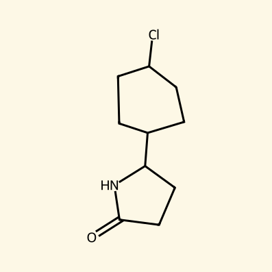 O=C1CCC(C2CCC(Cl)CC2)N1